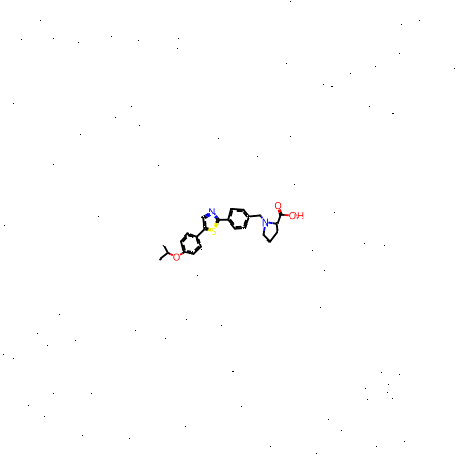 CC(C)Oc1ccc(-c2cnc(-c3ccc(CN4CCCC4C(=O)O)cc3)s2)cc1